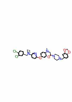 CCN(Cc1ccc(Cl)c(Cl)c1)c1ccc(Oc2ccc(N(C)CC(=O)N3CCN(Cc4ccc5c(c4)OCO5)CC3)cc2)nc1